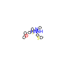 c1ccc(C2=NC(c3cccc4c3sc3ccc(-c5cccc6c5oc5ccccc56)cc34)NC(c3ccc4sc5ccccc5c4c3)N2)cc1